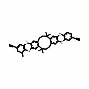 C#CC1=CC2=C(Oc3cc4c(cc3O2)CCC(C)(C)c2cc3c(cc2CCC4(C)C)Oc2cc(C#C)ccc2O3)C(C)C1